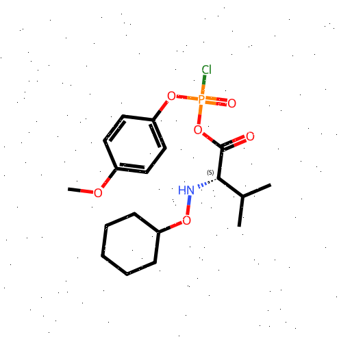 COc1ccc(OP(=O)(Cl)OC(=O)[C@@H](NOC2CCCCC2)C(C)C)cc1